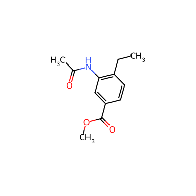 CCc1ccc(C(=O)OC)cc1NC(C)=O